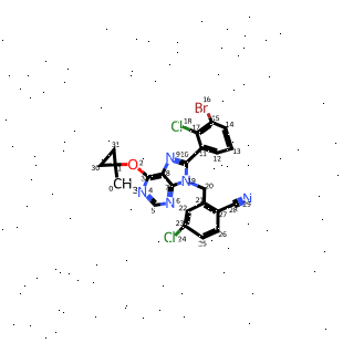 CC1(Oc2ncnc3c2nc(-c2cccc(Br)c2Cl)n3Cc2cc(Cl)ccc2C#N)CC1